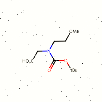 COCCN(CC(=O)O)C(=O)OC(C)(C)C